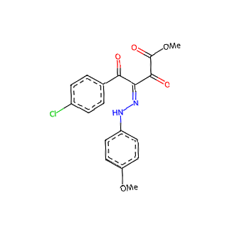 COC(=O)C(=O)C(=NNc1ccc(OC)cc1)C(=O)c1ccc(Cl)cc1